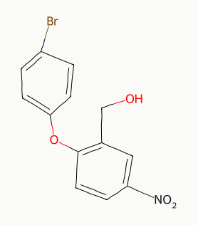 O=[N+]([O-])c1ccc(Oc2ccc(Br)cc2)c(CO)c1